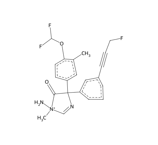 Cc1cc(C2(c3cccc(C#CCF)c3)N=C[N+](C)(N)C2=O)ccc1OC(F)F